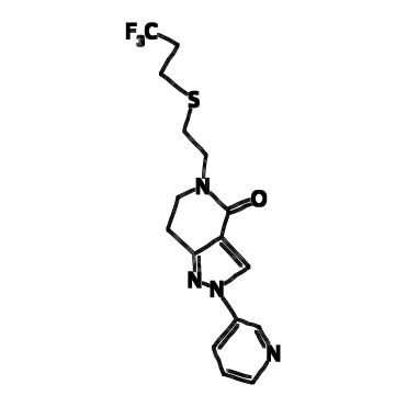 O=C1c2cn(-c3cccnc3)nc2CCN1CCSCCC(F)(F)F